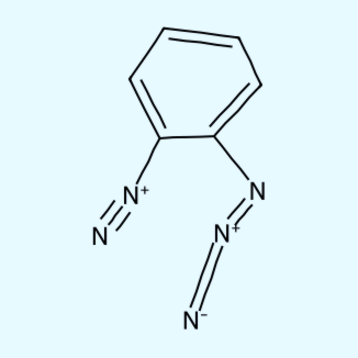 N#[N+]c1ccccc1N=[N+]=[N-]